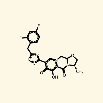 C[C@@H]1COC2Cn3cc(-c4nnc(Cc5ccc(F)cc5F)s4)c(=O)c(O)c3C(=O)N21